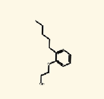 CCCCCc1ccccc1OCCO